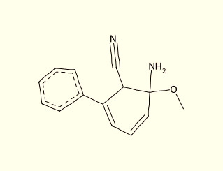 COC1(N)C=CC=C(c2ccccc2)C1C#N